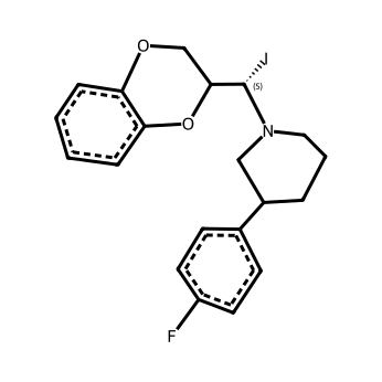 Fc1ccc(C2CCCN([C@@H](I)C3COc4ccccc4O3)C2)cc1